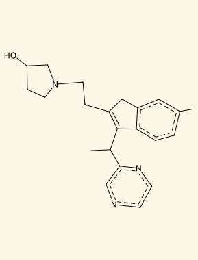 Cc1ccc2c(c1)CC(CCN1CCC(O)C1)=C2C(C)c1cnccn1